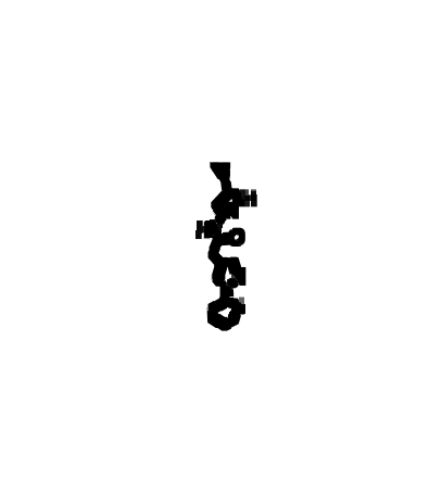 O=C(Cc1cnn(-c2ccccn2)c1)Nc1cc(C2CC2)[nH]n1